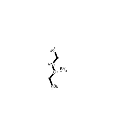 B.CCCCCONCC(C)C